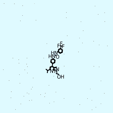 CC(C)c1cc(-c2ccc(NC(=O)Nc3cccc(C(F)(F)F)c3)cc2)c2cnn(CCO)c2n1